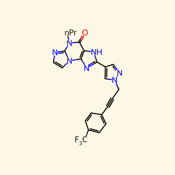 CCCn1c(=O)c2[nH]c(-c3cnn(CC#Cc4ccc(C(F)(F)F)cc4)c3)nc2n2ccnc12